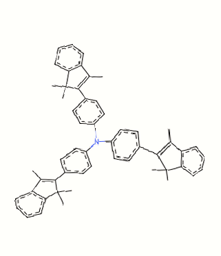 CC1=C(c2ccc(N(c3ccc(C4=C(C)c5ccccc5C4(C)C)cc3)c3ccc(C4=C(C)c5ccccc5C4(C)C)cc3)cc2)C(C)(C)c2ccccc21